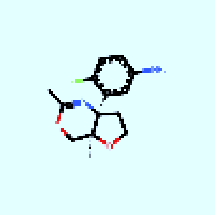 CC1=N[C@@]2(c3cc(N)ccc3F)CCO[C@H]2CO1